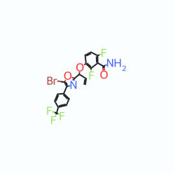 C=CC(Oc1ccc(F)c(C(N)=O)c1F)c1nc(-c2ccc(C(F)(F)F)cc2)c(Br)o1